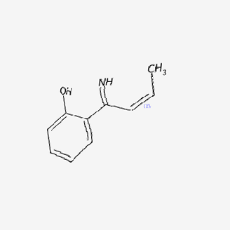 C/C=C\C(=N)c1ccccc1O